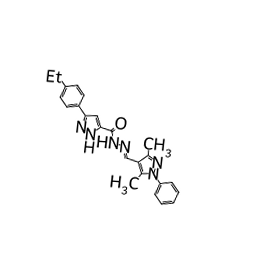 CCc1ccc(-c2cc(C(=O)N/N=C/c3c(C)nn(-c4ccccc4)c3C)[nH]n2)cc1